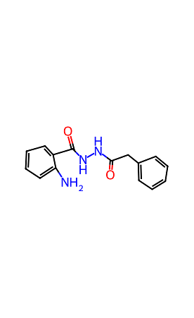 Nc1ccccc1C(=O)NNC(=O)Cc1ccccc1